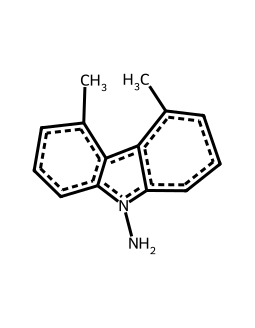 Cc1cccc2c1c1c(C)cccc1n2N